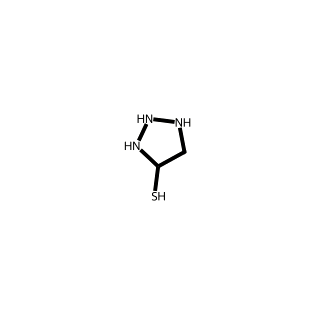 SC1CNNN1